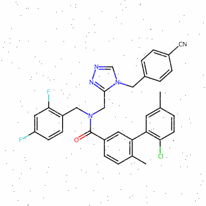 Cc1ccc(Cl)c(-c2cc(C(=O)N(Cc3ccc(F)cc3F)Cc3nncn3Cc3ccc(C#N)cc3)ccc2C)c1